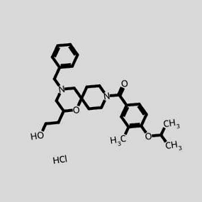 Cc1cc(C(=O)N2CCC3(CC2)CN(Cc2ccccc2)CC(CCO)O3)ccc1OC(C)C.Cl